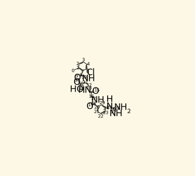 Cc1cccc(Cl)c1C(=O)NC(CNC(=O)CNC(=O)c1cccc(NC(=N)N)c1)C(=O)O